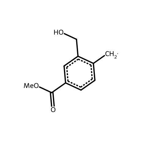 [CH2]c1ccc(C(=O)OC)cc1CO